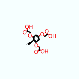 [C]#Cc1c(OCC(=O)O)cc(OCC(=O)O)cc1OCC(=O)O